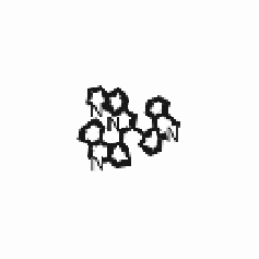 c1ccc2c(c1)cnc1cccc(-c3cc4ccc5cccnc5c4nc3-c3cccc4ncc5ccccc5c34)c12